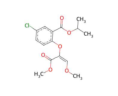 COC=C(Oc1ccc(Cl)cc1C(=O)OC(C)C)C(=O)OC